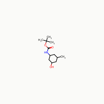 CC1CC(O)CC(NC(=O)OC(C)(C)C)C1